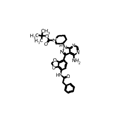 CC(C)(C)OC(=O)N1CCC[C@@H](n2nc(-c3ccc(NC(=O)Cc4ccccc4)c4c3OCO4)c3c(N)ncnc32)C1